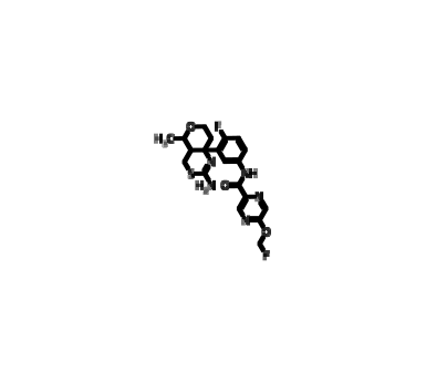 CC1OCCC2(c3cc(NC(=O)c4cnc(OCF)cn4)ccc3F)N=C(N)SCC12